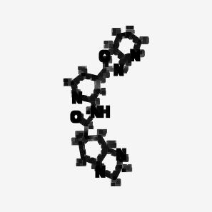 O=C(Nc1cc(-c2nc3ncccc3o2)ccn1)c1ccc2nccnc2c1